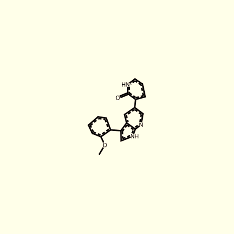 COc1ccccc1-c1c[nH]c2ncc(-c3ccc[nH]c3=O)cc12